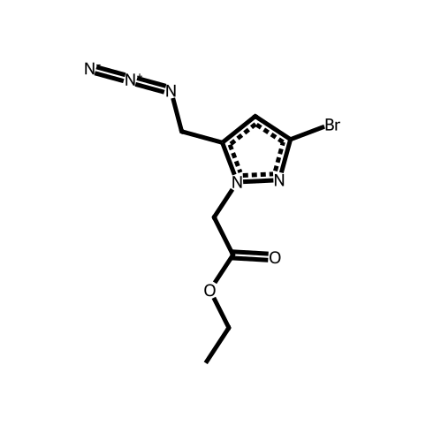 CCOC(=O)Cn1nc(Br)cc1CN=[N+]=[N-]